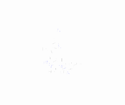 C=C/C=C(\C(C)=C(/C)NC(=C)c1n[nH]/c(=C/C=C(\C)c2cncc(CCCN3CCCC3)c2)c1=C)N1CCCCC1